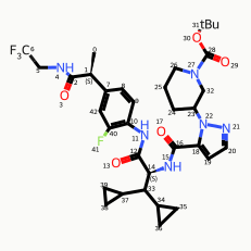 C[C@H](C(=O)NCC(F)(F)F)c1ccc(NC(=O)[C@@H](NC(=O)c2ccnn2C2CCCN(C(=O)OC(C)(C)C)C2)C(C2CC2)C2CC2)c(F)c1